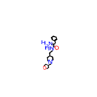 N[C@H](Cc1ccccc1)C(=O)NCCC1CCN(CC2CCOCC2)CC1